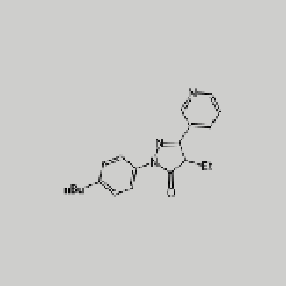 CCCCc1ccc(N2N=C(c3cccnc3)C(CC)C2=O)cc1